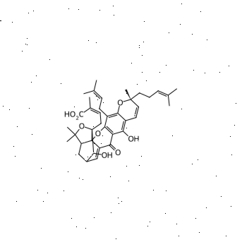 CC(C)=CCC[C@]1(C)C=Cc2c(O)c3c(c(CC=C(C)C)c2O1)OC12C(=CC4CC1C(C)(C)OC2(C/C=C(/C)C(=O)O)C4O)C3=O